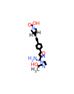 C[C@H](O)c1nccn1[C@H](CN)c1cc(-c2ccc(C#C[C@H]3[C@H]4CN(C(=O)O)C[C@@H]34)cc2)on1